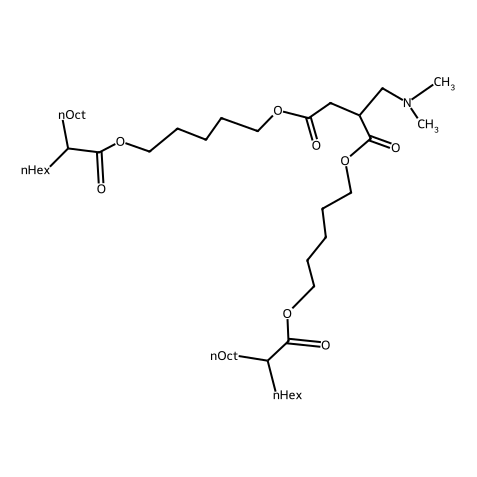 CCCCCCCCC(CCCCCC)C(=O)OCCCCCOC(=O)CC(CN(C)C)C(=O)OCCCCCOC(=O)C(CCCCCC)CCCCCCCC